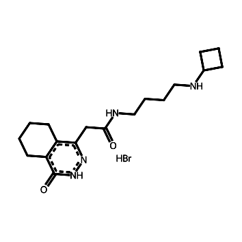 Br.O=C(Cc1n[nH]c(=O)c2c1CCCC2)NCCCCNC1CCC1